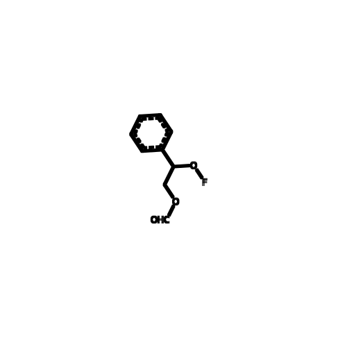 O=COCC(OF)c1ccccc1